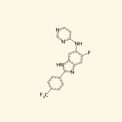 Fc1cc2nc(-c3ccc(C(F)(F)F)cc3)[nH]c2cc1Nc1ccncn1